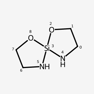 C1CO[Si]2(N1)NCCO2